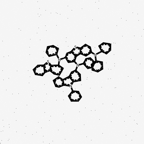 c1ccc(N(c2ccccc2)c2ccc3sc4cc(N(c5ccccc5)c5cccc6c5sc5ccccc56)cc(N(c5ccccc5)c5ccc6c(c5)c5ccccc5n6-c5ccccc5)c4c3c2)cc1